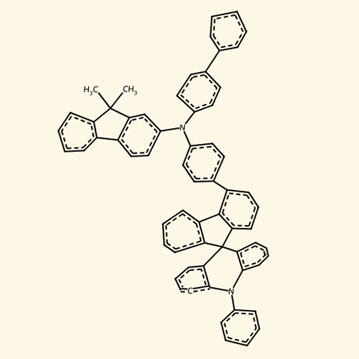 CC1(C)c2ccccc2-c2ccc(N(c3ccc(-c4ccccc4)cc3)c3ccc(-c4cccc5c4-c4ccccc4C54c5ccccc5N(c5ccccc5)c5ccccc54)cc3)cc21